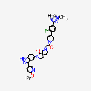 C=N/C(=N\N(C)C)c1ccc(C2=CCN(C(=O)CN3CC[C@]4(CCN(c5ccc6[nH]nc(-c7ccc(OC(C)C)nc7)c6c5)C4=O)C3)CC2)c(F)c1